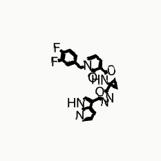 O=C(NC1(c2nnc(-c3c[nH]c4ncccc34)o2)CC1)c1cccn(Cc2ccc(F)c(F)c2)c1=O